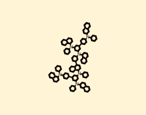 c1ccc(N(c2ccc(-c3cc(N(c4ccccc4)c4cccc5ccccc45)cc(N(c4cccc(-c5ccc(N(c6ccccc6)c6cc(-c7ccc(N(c8ccccc8)c8cccc9ccccc89)cc7)cc(N(c7ccccc7)c7ccc8ccccc8c7)c6)c6ccccc56)c4)c4cccc5ccccc45)c3)cc2)c2ccc3ccccc3c2)cc1